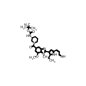 CCc1[nH]c(/C=C\C=N)cc1-c1nc2cc(C(=O)N3CCC[C@@H](NC(=O)OC(C)(C)C)C3)cc(OC)c2n1C